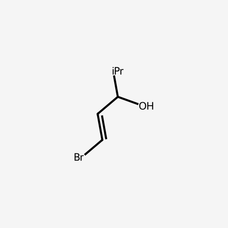 CC(C)C(O)C=CBr